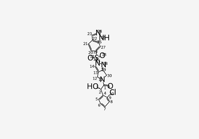 O=C([C@H](O)c1ccccc1Cl)N1Cc2cn(S(=O)(=O)c3ccc4cn[nH]c4c3)nc2C1